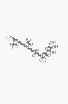 CCCCN(CCCCN(CCCNC(=O)CCn1cc([C@@H]2O[C@H](CO)C(O)[C@@H]2O)c(=O)[nH]c1=O)C(=O)C(F)(F)F)C(=O)C(F)(F)F